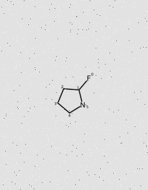 FC1CCC[N]1